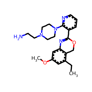 CCc1cc(OC)cc2c1COC(c1cccnc1N1CCN(CCN)CC1)=N2